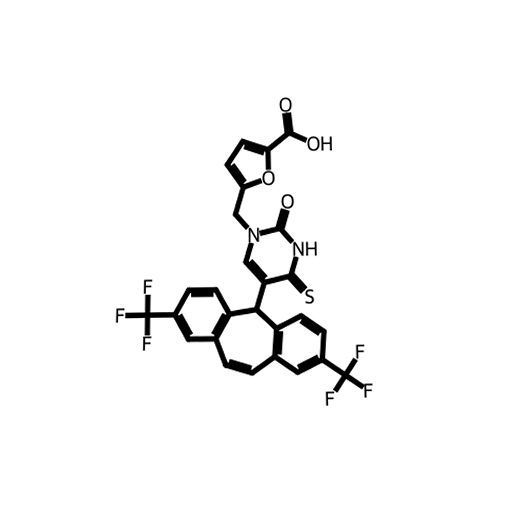 O=C(O)c1ccc(Cn2cc(C3c4ccc(C(F)(F)F)cc4C=Cc4cc(C(F)(F)F)ccc43)c(=S)[nH]c2=O)o1